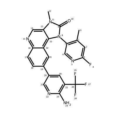 Cc1cc(F)ncc1-n1c(=O)n(C)c2cnc3ccc(-c4cnc(N)c(C(F)(F)F)c4)cc3c21